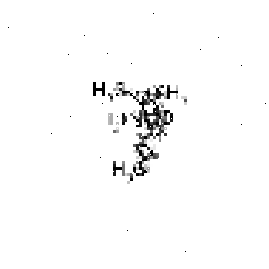 C=C/C=N\c1cc(OCCCC)c(OC)cc1C(=O)N1CCC(=Cc2ccc(OC)cc2)C1